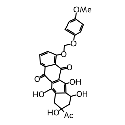 COc1ccc(OCOc2cccc3c2C(=O)c2c(O)c4c(c(O)c2C3=O)CC(O)(C(C)=O)CC4O)cc1